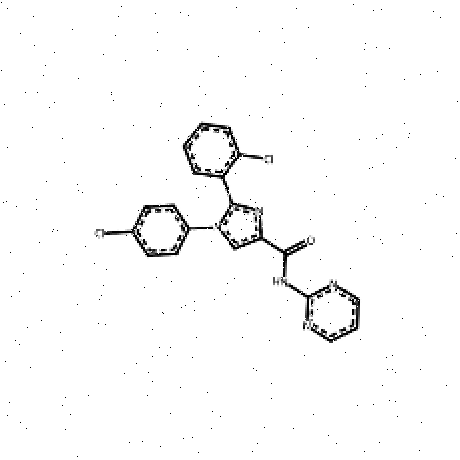 O=C(Nc1ncccn1)c1cn(-c2ccc(Cl)cc2)c(-c2ccccc2Cl)n1